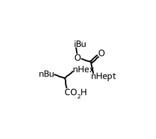 CCCCCCC(CCCC)C(=O)O.CCCCCCCC(=O)OC(C)CC